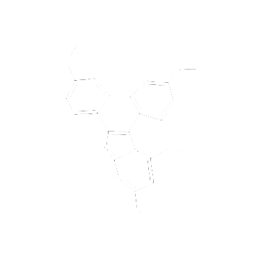 COc1ccc(-c2nc3nc(O)cc(OC)n3c2-c2ccc(SC)cc2)cc1